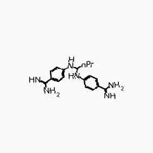 CCCC(Nc1ccc(C(=N)N)cc1)Nc1ccc(C(=N)N)cc1